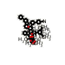 CC(C)(C)c1cc(-c2nc(-c3cc(C(C)(C)C)cc(C(C)(C)C)c3)nc(-c3cc(-c4cc(-c5ccc(C#N)cc5)ccc4-n4c5ccccc5c5cc(-c6ccccc6)ccc54)ccc3-n3c4ccccc4c4cc(-c5ccccc5)ccc43)n2)cc(C(C)(C)C)c1